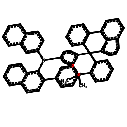 C[Si]1(C)c2ccccc2C2(c3ccccc3-c3cccc4cccc2c34)c2ccc(N(c3ccc4ccccc4c3)c3c(-c4ccccc4)ccc4ccccc34)cc21